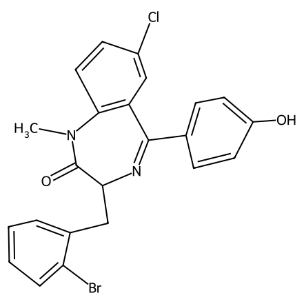 CN1C(=O)C(Cc2ccccc2Br)N=C(c2ccc(O)cc2)c2cc(Cl)ccc21